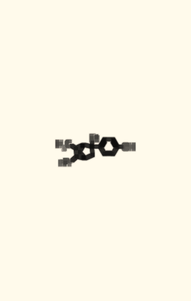 CCCC1C2CC(C1C)C(CC)(c1ccc(O)cc1)C2